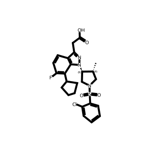 C[C@@H]1CN(S(=O)(=O)c2ccccc2Cl)C[C@@H]1n1nc(CC(=O)O)c2ccc(F)c(C3CCCC3)c21